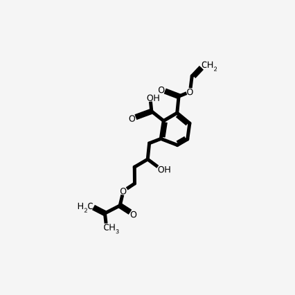 C=COC(=O)c1cccc(CC(O)CCOC(=O)C(=C)C)c1C(=O)O